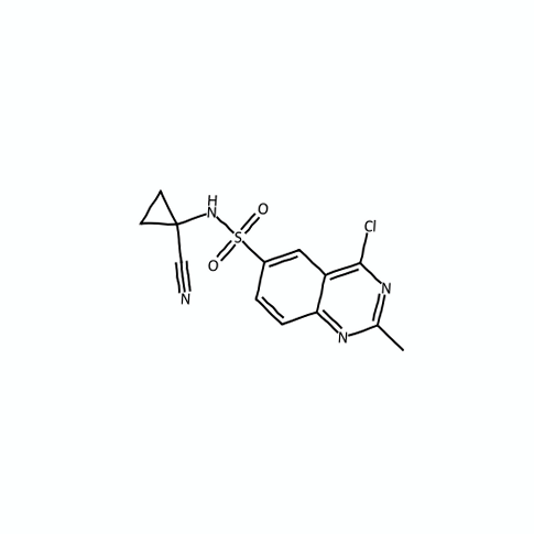 Cc1nc(Cl)c2cc(S(=O)(=O)NC3(C#N)CC3)ccc2n1